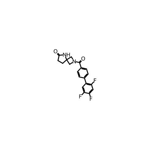 O=C1CCC2(CN(C(=O)c3ccc(-c4cc(F)c(F)cc4F)cc3)C2)N1